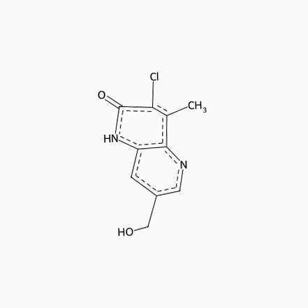 Cc1c(Cl)c(=O)[nH]c2cc(CO)cnc12